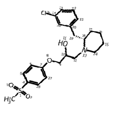 CS(=O)(=O)c1ccc(OCC(O)CN2CCCC[C@H]2Cc2cccc(Cl)c2)cc1